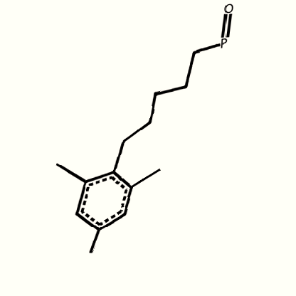 Cc1cc(C)c(CCCCCP=O)c(C)c1